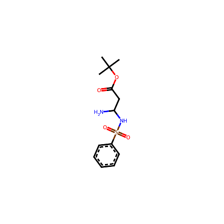 CC(C)(C)OC(=O)CC(N)NS(=O)(=O)c1ccccc1